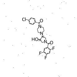 O=C(c1ccc(Cl)cc1)N1CCN([C@@H]2CN(C(=O)c3cc(F)c(F)cc3F)C[C@H]2O)CC1